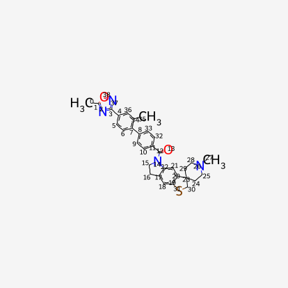 Cc1nc(-c2ccc(-c3ccc(C(=O)N4CCc5cc6c(cc54)C4(CCN(C)CC4)CS6)cc3)c(C)c2)no1